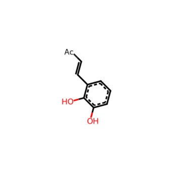 CC(=O)C=Cc1cccc(O)c1O